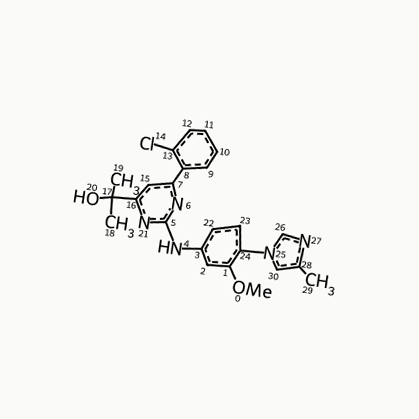 COc1cc(Nc2nc(-c3ccccc3Cl)cc(C(C)(C)O)n2)ccc1-n1cnc(C)c1